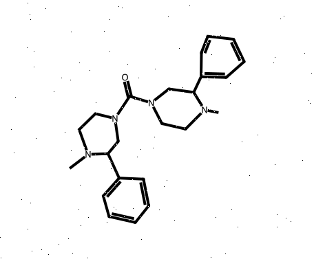 CN1CCN(C(=O)N2CCN(C)C(c3ccccc3)C2)CC1c1ccccc1